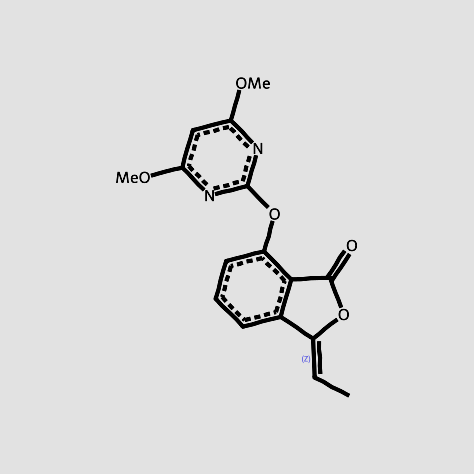 C/C=C1\OC(=O)c2c(Oc3nc(OC)cc(OC)n3)cccc21